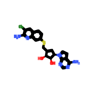 Nc1nc2cc(SCC3=C[C@@H](n4ccc5c(N)ncnc54)[C@H](O)[C@@H]3O)ccc2cc1Cl